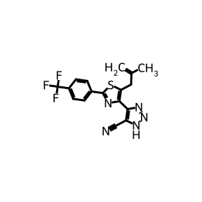 C=C(C)Cc1sc(-c2ccc(C(F)(F)F)cc2)nc1-c1nn[nH]c1C#N